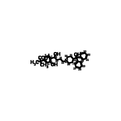 CC(C)(C(=O)O)c1ccc(C(O)CCCN2CCC(C(O)(c3ccccc3)c3ccccc3)CC2)c(O)c1